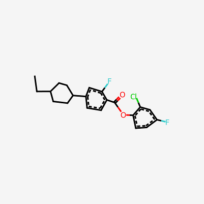 CCC1CCC(c2ccc(C(=O)Oc3ccc(F)cc3Cl)c(F)c2)CC1